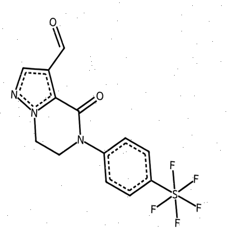 O=Cc1cnn2c1C(=O)N(c1ccc(S(F)(F)(F)(F)F)cc1)CC2